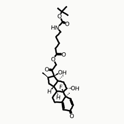 C[C@@H]1C[C@H]2[C@@H]3CCC4=CC(=O)C=C[C@]4(C)[C@@]3(F)[C@@H](O)C[C@]2(C)[C@@]1(O)C(=O)COC(=O)CCCCNC(=O)OC(C)(C)C